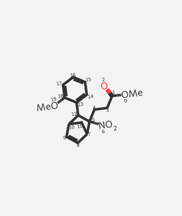 COC(=O)CCC1([N+](=O)[O-])C2C=CC(C2)C1c1ccccc1OC